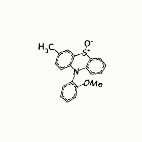 COc1ccccc1N1c2ccccc2[S+]([O-])c2cc(C)ccc21